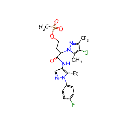 CCc1c(NC(=O)C(CCOS(C)(=O)=O)n2nc(C(F)(F)F)c(Cl)c2C)cnn1-c1ccc(F)cc1